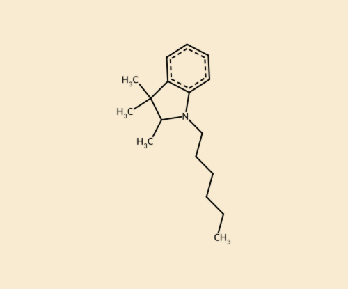 CCCCCCN1c2ccccc2C(C)(C)C1C